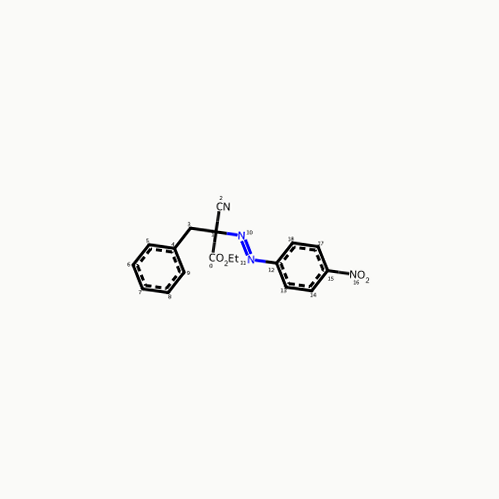 CCOC(=O)C(C#N)(Cc1ccccc1)N=Nc1ccc([N+](=O)[O-])cc1